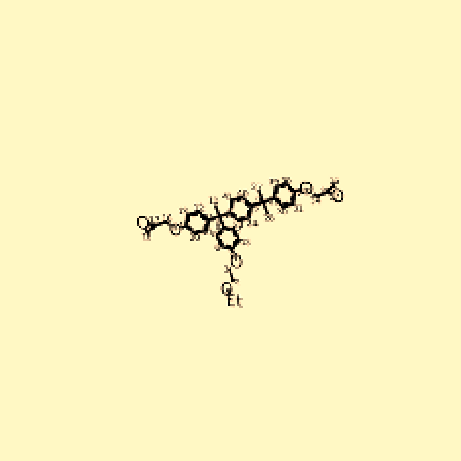 CCOCCOc1ccc(C(C)(c2ccc(OCC3CO3)cc2)c2ccc(C(C)(C)c3ccc(OCC4CO4)cc3)cc2)cc1